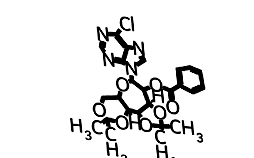 CC1(C)OCC2OC(n3cnc4c(Cl)ncnc43)C(OC(=O)c3ccccc3)[C@H]3OC(C)(C)OC3[C@@H]2O1